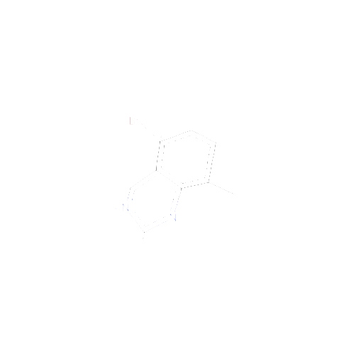 Cc1ccc(Br)c2cncnc12